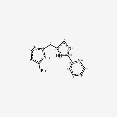 CC(C)(C)c1cccc(Cc2cnc(-c3ccccn3)[nH]2)n1